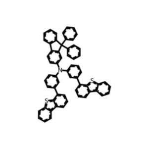 c1ccc(C2(c3ccccc3)c3ccccc3-c3ccc(N(c4cccc(-c5cccc6c5sc5ccccc56)c4)c4cccc(-c5cccc6c5sc5ccccc56)c4)cc32)cc1